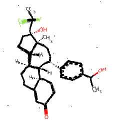 CC(O)c1ccc([C@H]2C[C@@]3(C)[C@@H](CC[C@@]3(O)C(F)(F)C(F)(F)F)[C@@H]3CCC4=CC(=O)CC[C@@H]4[C@H]32)cc1